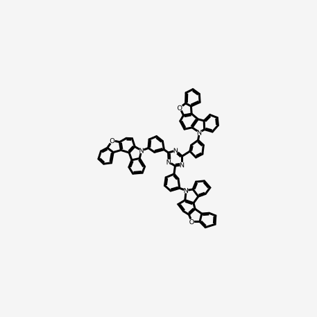 c1cc(-c2nc(-c3cccc(-n4c5ccccc5c5c6c(ccc54)oc4ccccc46)c3)nc(-c3cccc(-n4c5ccccc5c5c6c(ccc54)oc4ccccc46)c3)n2)cc(-n2c3ccccc3c3c4c(ccc32)oc2ccccc24)c1